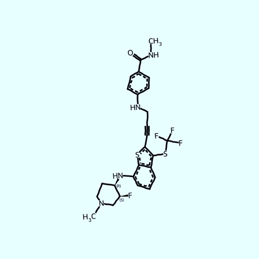 CNC(=O)c1ccc(NCC#Cc2sc3c(N[C@@H]4CCN(C)C[C@@H]4F)cccc3c2SC(F)(F)F)cc1